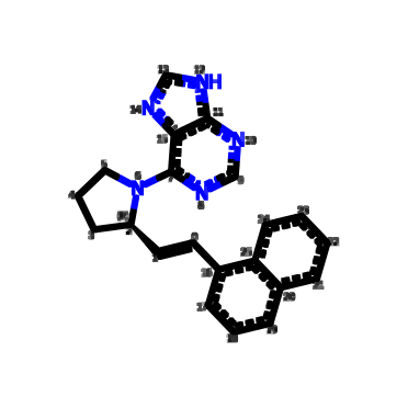 C(=C[C@H]1CCCN1c1ncnc2[nH]cnc12)c1cccc2ccccc12